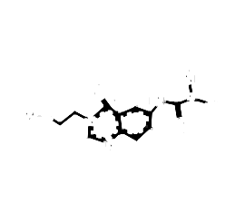 COCCn1cnc2ccc(NC(=O)N(N)C(C)C)cc2c1=O